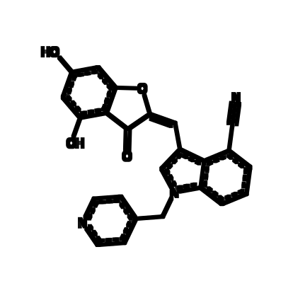 N#Cc1cccc2c1c(C=C1Oc3cc(O)cc(O)c3C1=O)cn2Cc1ccncc1